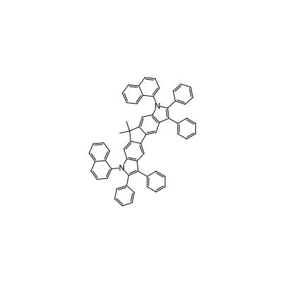 CC1(C)c2cc3c(cc2-c2cc4c(-c5ccccc5)c(-c5ccccc5)n(-c5cccc6ccccc56)c4cc21)c(-c1ccccc1)c(-c1ccccc1)n3-c1cccc2ccccc12